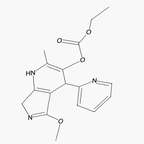 CCOC(=O)OC1=C(C)NC2=C(C(OC)=NC2)C1c1ccccn1